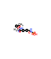 Cc1noc(-c2ccc(-c3ccc(CC(=O)NCCS(=O)(=O)O)cc3)cc2)c1NC(=O)O[C@H](C)c1ccccc1